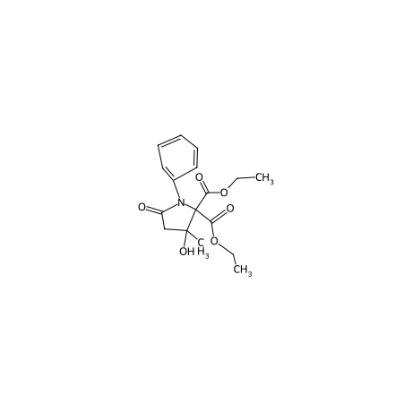 CCOC(=O)C1(C(=O)OCC)N(c2ccccc2)C(=O)CC1(C)O